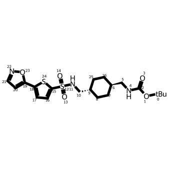 CC(C)(C)OC(=O)NC[C@H]1CC[C@H](CNS(=O)(=O)c2ccc(-c3ccno3)s2)CC1